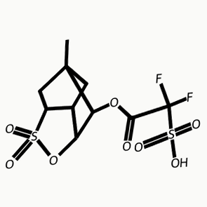 CC12CC3C(OS(=O)(=O)C3C1)C2OC(=O)C(F)(F)S(=O)(=O)O